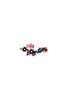 Br.Br.CN(C)Cc1c(OCc2ccc(F)cc2)ccc2c(CCC3CCN(CC4OCCO4)CC3)noc12